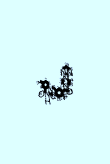 Cc1ccc2c(c1)c(=O)[nH]c(=O)n2Cc1ccc(F)c(C(=O)N2CCN(c3ncccn3)CC2)c1